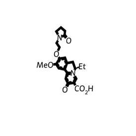 CC[C@@H]1Cc2cc(OCCN3CCCC3=O)c(OC)cc2-c2cc(=O)c(C(=O)O)cn21